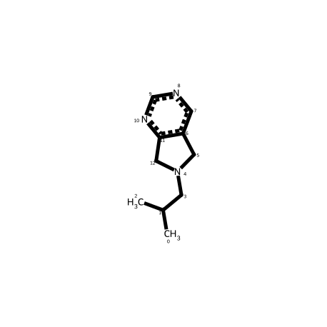 C[C](C)CN1Cc2cncnc2C1